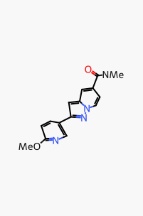 CNC(=O)c1ccn2nc(-c3ccc(OC)nc3)cc2c1